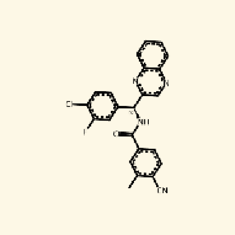 Cc1cc(C(=O)N[C@@H](c2ccc(Cl)c(F)c2)c2cnc3ccccc3n2)ccc1C#N